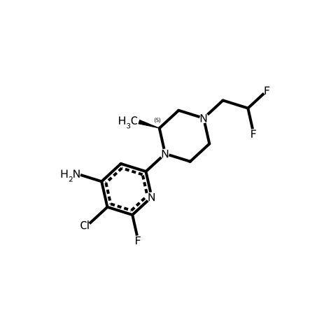 C[C@H]1CN(CC(F)F)CCN1c1cc(N)c(Cl)c(F)n1